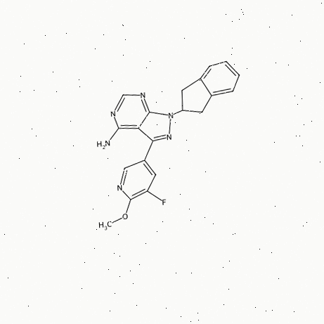 COc1ncc(-c2nn(C3Cc4ccccc4C3)c3ncnc(N)c23)cc1F